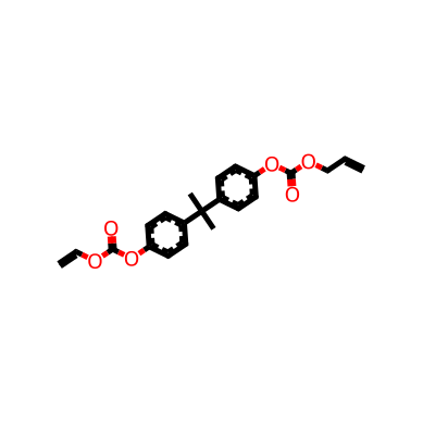 C=CCOC(=O)Oc1ccc(C(C)(C)c2ccc(OC(=O)OC=C)cc2)cc1